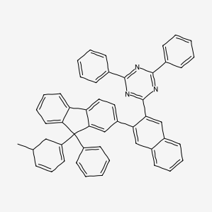 CC1C=CC=C(C2(c3ccccc3)c3ccccc3-c3ccc(-c4cc5ccccc5cc4-c4nc(-c5ccccc5)nc(-c5ccccc5)n4)cc32)C1